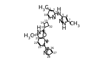 Cc1cc(Nc2cc(C)[nH]n2)nc([C@H]2C[C@H](C(=O)N[C@@H](C)c3ccc(-n4cccn4)nc3)C2)c1